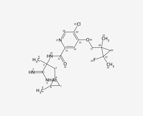 CC(=O)NC(=N)C(C)(CC1CC1C)NC(=O)c1cc(OCC2(C)CC2(C)F)c(Cl)cn1